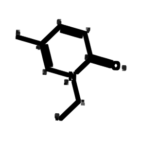 [CH2]Cn1cc(C)ccc1=O